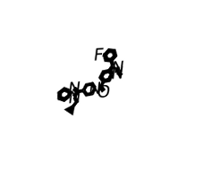 Cn1nc(-c2cccc(F)c2)c2ccc(C(=O)N3CCC(c4nc5ccccc5n4CC4CC4)CC3)cc21